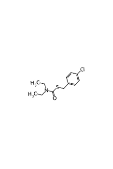 CCN(CC)C(=O)SCc1ccc(Cl)cc1